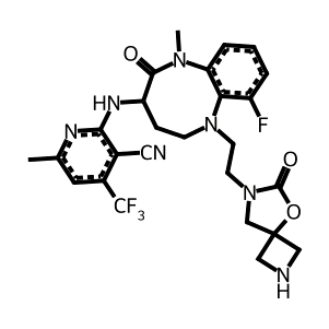 Cc1cc(C(F)(F)F)c(C#N)c(NC2CCN(CCN3CC4(CNC4)OC3=O)c3c(F)cccc3N(C)C2=O)n1